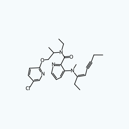 CCC#C/C=C(/CC)N(C)c1cccnc1C(=O)N(CC)C(C)COc1ccc(Cl)cn1